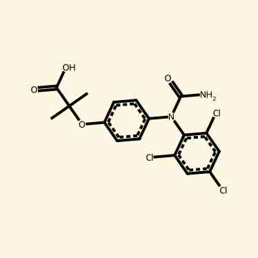 CC(C)(Oc1ccc(N(C(N)=O)c2c(Cl)cc(Cl)cc2Cl)cc1)C(=O)O